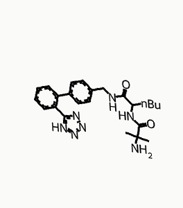 CCCCC(NC(=O)C(C)(C)N)C(=O)NCc1ccc(-c2ccccc2-c2nnn[nH]2)cc1